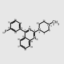 CN1CCN(c2nc(-c3cccc(F)c3)c3ccccc3n2)CC1